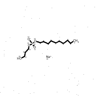 CCCCCCCCCCOP(=O)([O-])OCCCO.[Na+]